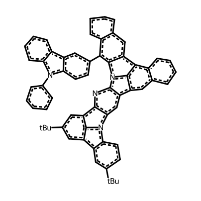 CC(C)(C)c1ccc2c(c1)c1cc(C(C)(C)C)cc3c4nc5c(cc4n2c13)c1cc2ccccc2c2c3cc4ccccc4c(-c4ccc6c(c4)c4ccccc4n6-c4ccccc4)c3n5c12